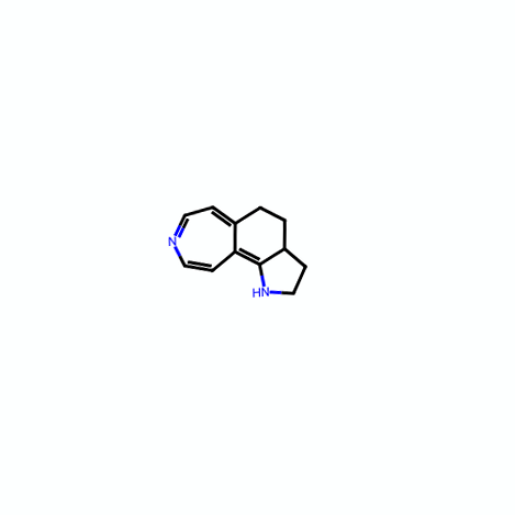 C1=CC2=C3NCCC3CCC2=CC=N1